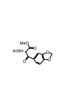 COC(=O)[C@@H](NC(C)=O)C(=O)c1ccc2c(c1)OCO2